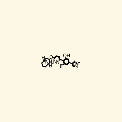 Cn1cc(-c2cc(O)c(-c3ccc(O[C@@H]4C[C@H]5CCC[C@H](N5)[C@@H]4F)nn3)c(F)c2)cn1